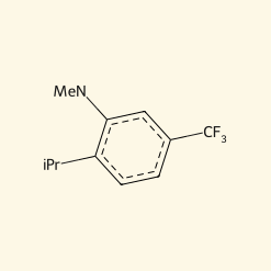 CNc1cc(C(F)(F)F)ccc1C(C)C